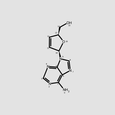 Nc1ncnc2c1ncn2[C@H]1C=C[C@@H](CO)O1